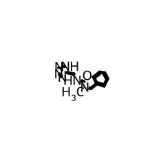 CN(Cc1ccccc1)C(=O)NCc1nnn[nH]1